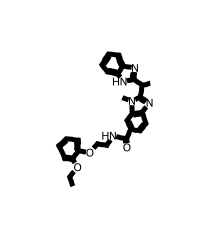 CCOc1ccccc1OCCNC(=O)c1ccc2nc(C(C)c3nc4ccccc4[nH]3)n(C)c2c1